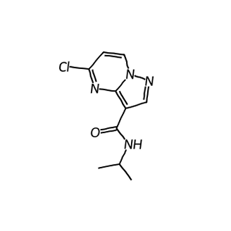 CC(C)NC(=O)c1cnn2ccc(Cl)nc12